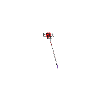 CCO[Si](CCCCCCCCCCCCCCCCCCCCCCCCCCCCCCCCCI)(OCC)OCC